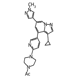 CC(=O)N1CCN(c2ccc(-c3cc(-c4cnn(C)c4)cn4ncc(C5CC5)c34)cn2)CC1